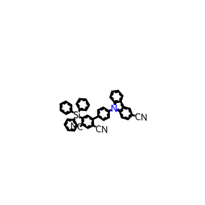 N#Cc1ccc2c(c1)c1ccccc1n2-c1ccc(-c2cc([Si](c3ccccc3)(c3ccccc3)c3ccccc3)c(C#N)cc2C#N)cc1